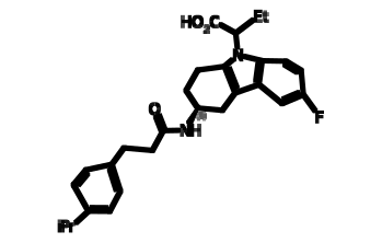 CCC(C(=O)O)n1c2c(c3cc(F)ccc31)C[C@@H](NC(=O)CCc1ccc(C(C)C)cc1)CC2